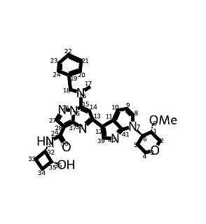 CO[C@@H]1COCC[C@H]1n1cccc2c(-c3cc(N(C)Cc4ccccc4)n4ncc(C(=O)N[C@H]5CC[C@H]5O)c4n3)cnc1-2